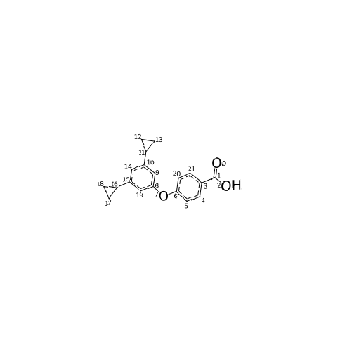 O=C(O)c1ccc(Oc2cc(C3CC3)cc(C3CC3)c2)cc1